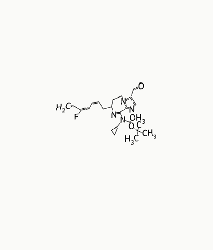 C=C/C(F)=C\C=C/CC1CCn2c(C=O)cnc2C(N(C(=O)OC(C)(C)C)C2CC2)=N1